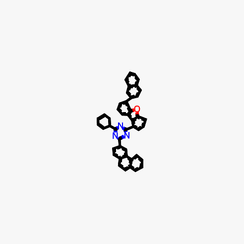 C1=CCC(c2nc(-c3ccc4ccc5ccccc5c4c3)nc(-c3cccc4oc5c(-c6ccc7ccccc7c6)cccc5c34)n2)C=C1